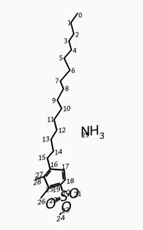 CCCCCCCCCCCCCCCCc1ccc(S(=O)(=O)OC)c(C)c1C.N